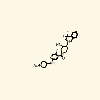 CC(=O)N1CCC(Nc2cc(C(=O)N3CCC(N4Cc5ccccc5C(F)(F)C4)C(O)C3)c(F)cn2)CC1